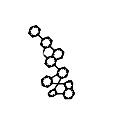 c1ccc(-c2ccc3c(c2)Oc2ccc(-c4cccc5c4-c4ccccc4C54c5ccccc5-c5cccc6cccc4c56)c4cccc-3c24)cc1